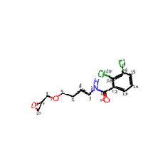 O=C(NCCCCOCC1CO1)c1cccc(Cl)c1Cl